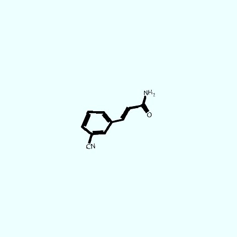 N#Cc1cccc(/C=C/C(N)=O)c1